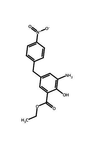 CCOC(=O)c1cc(Cc2ccc([N+](=O)[O-])cc2)cc(N)c1O